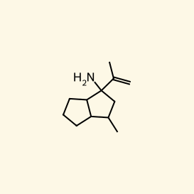 C=C(C)C1(N)CC(C)C2CCCC21